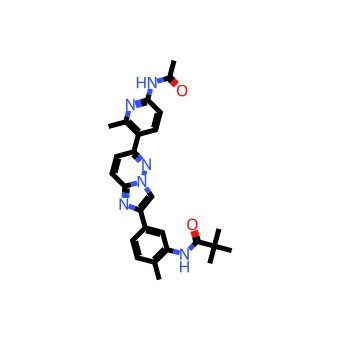 CC(=O)Nc1ccc(-c2ccc3nc(-c4ccc(C)c(NC(=O)C(C)(C)C)c4)cn3n2)c(C)n1